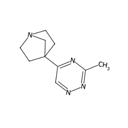 Cc1nncc(C23CCN(CC2)C3)n1